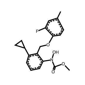 COC(=O)N(O)c1cccc(C2CC2)c1COc1ccc(C)cc1F